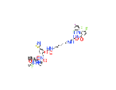 Cc1ncsc1-c1ccc(CNC(=O)[C@@H]2CCCN2C(=O)[C@@H](NC(=O)C2(F)CC2)C(C)(C)C)c(OCC(=O)NCCCCCCCCNCCCONC(=O)c2ccc(F)c(F)c2Nc2ccc(I)cc2F)c1